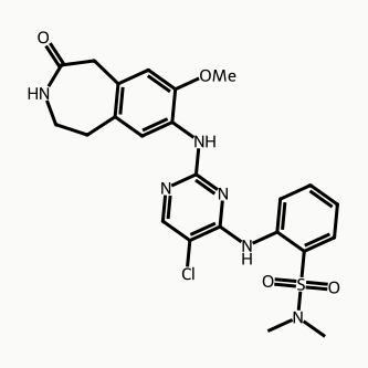 COc1cc2c(cc1Nc1ncc(Cl)c(Nc3ccccc3S(=O)(=O)N(C)C)n1)CCNC(=O)C2